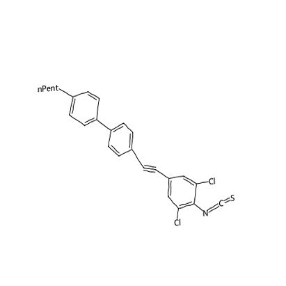 CCCCCc1ccc(-c2ccc(C#Cc3cc(Cl)c(N=C=S)c(Cl)c3)cc2)cc1